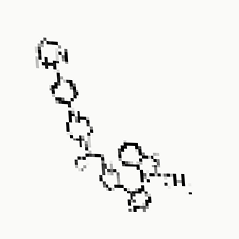 C[C@@H]1Sc2ccccc2N1c1ccsc1C1CCN(CC(=O)N2CCN(c3ccc(-c4ncccn4)cc3)CC2)C1